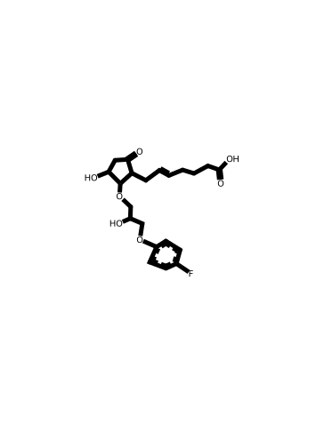 O=C(O)CCCC=CCC1C(=O)CC(O)C1OCC(O)COc1ccc(F)cc1